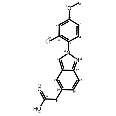 COc1ccc(-n2cc3cc(CC(=O)O)ccc3n2)c(Cl)c1